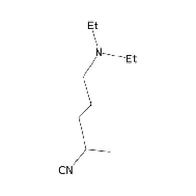 [C-]#[N+]C(C)CCCN(CC)CC